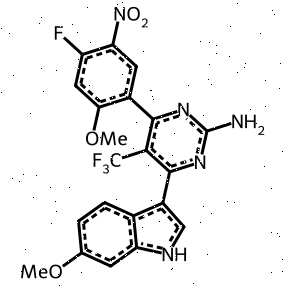 COc1ccc2c(-c3nc(N)nc(-c4cc([N+](=O)[O-])c(F)cc4OC)c3C(F)(F)F)c[nH]c2c1